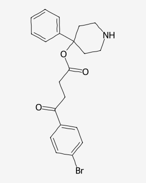 O=C(CCC(=O)c1ccc(Br)cc1)OC1(c2ccccc2)CCNCC1